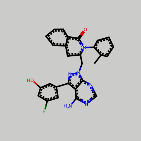 Cc1ccccc1-n1c(Cn2nc(-c3cc(O)cc(F)c3)c3c(N)ncnc32)cc2ccccc2c1=O